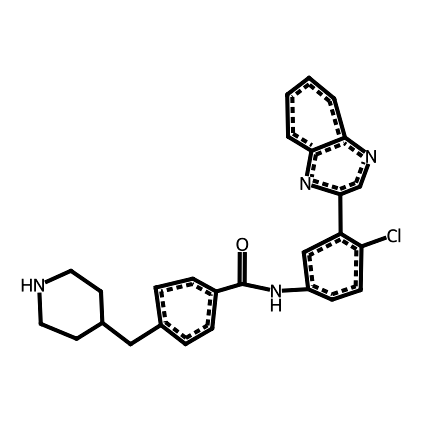 O=C(Nc1ccc(Cl)c(-c2cnc3ccccc3n2)c1)c1ccc(CC2CCNCC2)cc1